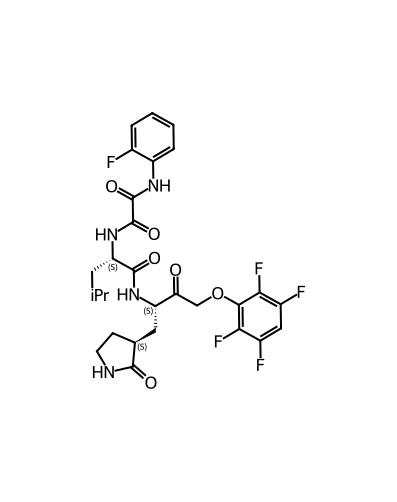 CC(C)C[C@H](NC(=O)C(=O)Nc1ccccc1F)C(=O)N[C@@H](C[C@@H]1CCNC1=O)C(=O)COc1c(F)c(F)cc(F)c1F